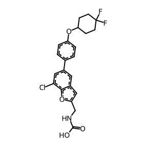 O=C(O)NCc1cc2cc(-c3ccc(OC4CCC(F)(F)CC4)cc3)cc(Cl)c2o1